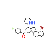 O=C(c1ccc(F)cc1)C1C=c2c(ccc3c2=CCc2cccc(Br)c2-3)C(C2=CC=CC=CN2)C1